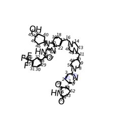 C=C(/C=C\C(=N/C)N1CCC(CN2CCN(Cc3ccc4c(c3)nc(NC(=O)c3cccc(C(F)(F)F)c3)n4[C@H]3CC[C@@H](CO)CC3)CC2)CC1)[C@@H]1CCC(=O)NC1=O